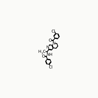 CC(NC(=O)c1ccc(Cl)cc1)c1cc2c(cn1)N(C(=O)c1cccc(Cl)c1)CCC2